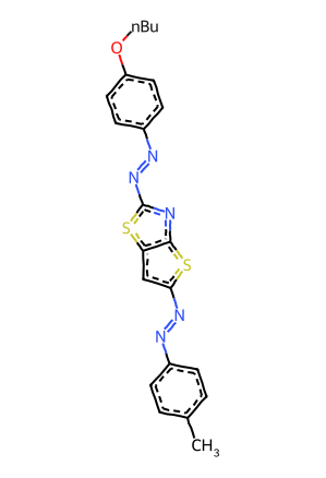 CCCCOc1ccc(N=Nc2nc3sc(N=Nc4ccc(C)cc4)cc3s2)cc1